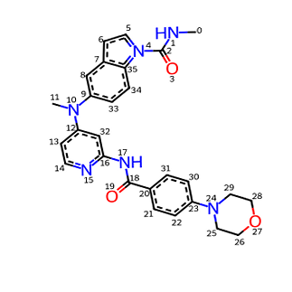 CNC(=O)n1ccc2cc(N(C)c3ccnc(NC(=O)c4ccc(N5CCOCC5)cc4)c3)ccc21